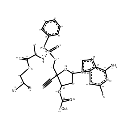 C#CC1(CO[P@@](=O)(NC(C)C(=O)OCC(CC)CC)Oc2ccccc2)OC(n2cnc3c(N)nc(F)nc32)CC1OC(=O)CCCCCCCC